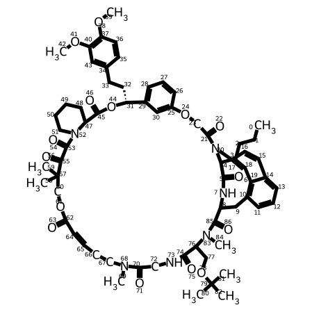 CCCCC1C(=O)NC2Cc3cccc4ccc(cc34)N1C(=O)COc1cccc(c1)[C@@H](CCc1ccc(OC)c(OC)c1)OC(=O)C1CCCCN1C(=O)C(=O)C(C)(C)COC(=O)/C=C\CCN(C)C(=O)CNC(=O)C(COC(C)(C)C)N(C)C2=O